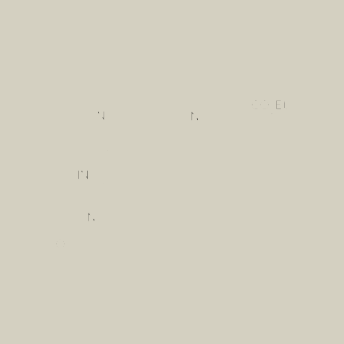 CCOC(=O)C1CCN(c2ccc(-c3nccc4[nH]c(CN5CCOCC5)cc34)cc2)CC1